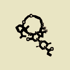 C=CC(=O)N1C[C@H](C)N(N2CC(=O)C3=NC4=C(C)c5ccc(C(C)C)c4c5OCCCC=CC=NC(F)=C4C(F)=CC2N34)C[C@H]1C